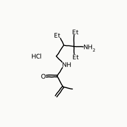 C=C(C)C(=O)NCC(CC)C(N)(CC)CC.Cl